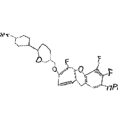 CCCc1cc2c(c(F)c1F)Oc1c(ccc(OCC3CCC(C4CCC(CCC)CC4)OC3)c1F)C2